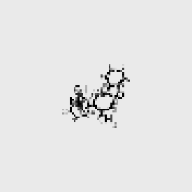 Cc1cc2oc3ccccc3c2cc1N1C2CCCN(CC2)[C@@H]1C